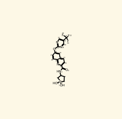 O=C(NC1CCS(O)(O)C1)c1ccc2cc(Oc3ncc(C(F)(F)F)cn3)ccc2n1